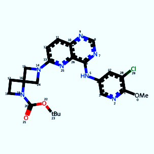 COc1ncc(Nc2ncnc3ccc(N4CC5(CCN5C(=O)OC(C)(C)C)C4)nc23)cc1Cl